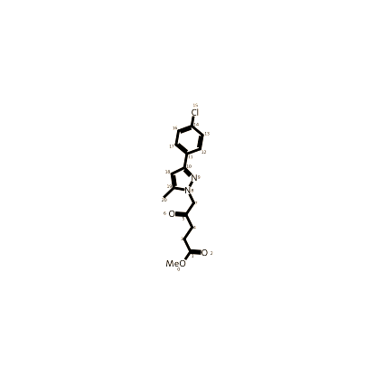 COC(=O)CCC(=O)Cn1nc(-c2ccc(Cl)cc2)cc1C